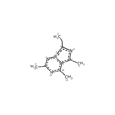 Cc1cn2c(C)nc(C)c2c(C)n1